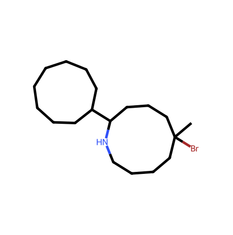 CC1(Br)CCCCNC(C2CCCCCCCC2)CCC1